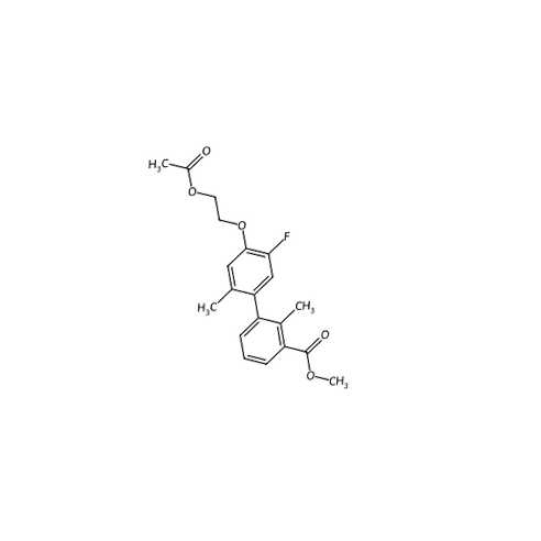 COC(=O)c1cccc(-c2cc(F)c(OCCOC(C)=O)cc2C)c1C